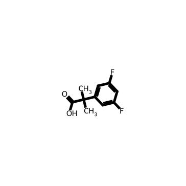 CC(C)(C(=O)O)c1cc(F)cc(F)c1